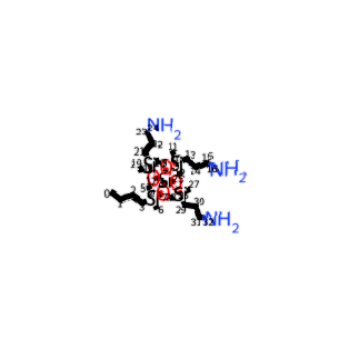 CCCC[Si](C)(C)O[Si](O[Si](C)(C)CCCN)(O[Si](C)(C)CCCN)O[Si](C)(C)CCCN